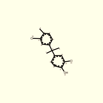 Cc1ccc(C(C)(C)c2ccc(O)c(Cl)c2)cc1Cl